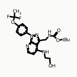 CC(C)(C)OC(=O)NCc1nn(-c2ccc(OC(C)(F)F)cc2)c2nccc(NCCO)c12